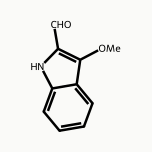 COc1c(C=O)[nH]c2ccccc12